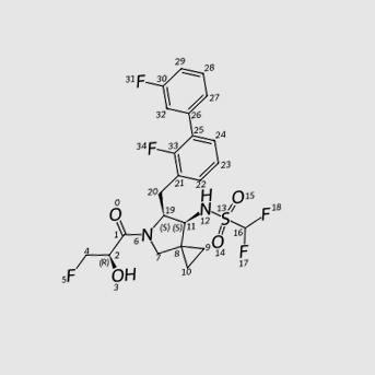 O=C([C@@H](O)CF)N1CC2(CC2)[C@H](NS(=O)(=O)C(F)F)[C@@H]1Cc1cccc(-c2cccc(F)c2)c1F